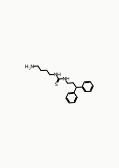 NCCCCNC(=S)NCCC(c1ccccc1)c1ccccc1